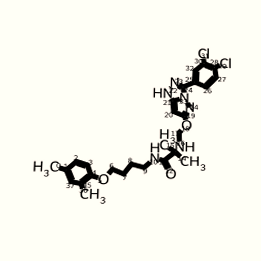 Cc1ccc(OCCCCNC(=O)C(C)(C)NCOc2cc3[nH]nc(-c4ccc(Cl)c(Cl)c4)n3n2)c(C)c1